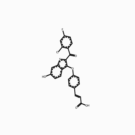 O=C(O)C=Cc1ccc(Oc2c(C(=O)c3ccc(F)cc3Cl)sc3cc(O)ccc23)cc1